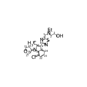 CCN(CCO)Cc1nc(-c2c(C)n(C3CCOCC3)c3c(Cl)cccc23)ns1